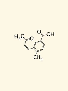 CC(=O)/C=C\c1cc(C(=O)O)ccc1C